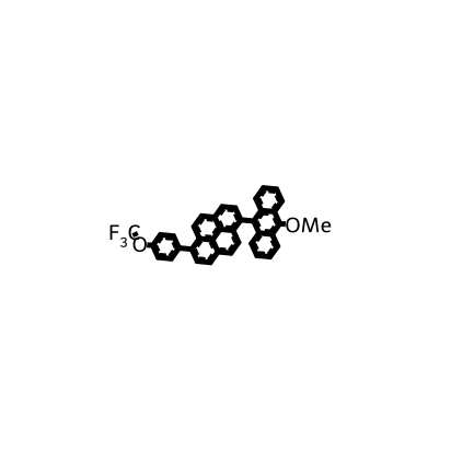 COc1c2ccccc2c(-c2ccc3ccc4c(-c5ccc(OC(F)(F)F)cc5)ccc5ccc2c3c54)c2ccccc12